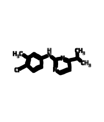 Cc1cc(Nc2nccc(C(C)C)n2)ccc1Cl